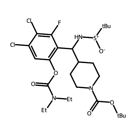 CCN(CC)C(=O)Oc1cc(Cl)c(Cl)c(F)c1C(N[S+]([O-])C(C)(C)C)C1CCN(C(=O)OC(C)(C)C)CC1